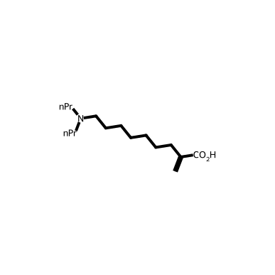 C=C(CCCCCCCN(CCC)CCC)C(=O)O